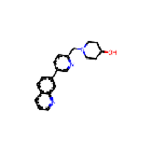 OC1CCN(Cc2ccc(-c3ccc4cccnc4c3)cn2)CC1